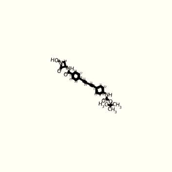 CC(C)(C)OC(=O)Nc1ccc(C#CC#Cc2ccc(C(=O)NC3CN(O)C3=O)cc2)cc1